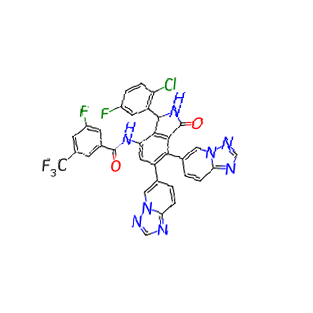 O=C(Nc1cc(-c2ccc3ncnn3c2)c(-c2ccc3ncnn3c2)c2c1C(c1cc(F)ccc1Cl)NC2=O)c1cc(F)cc(C(F)(F)F)c1